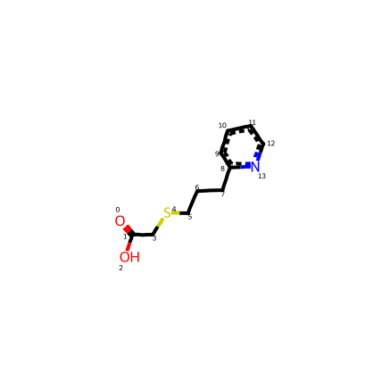 O=C(O)CSCCCc1ccccn1